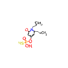 C=CCc1cc(OP(=O)(O)S)cc(=O)n1CC=C